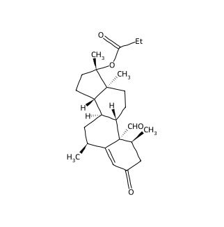 CCC(=O)O[C@@]1(C)CC[C@H]2[C@@H]3C[C@H](C)C4=CC(=O)C[C@H](C)[C@]4(C=O)[C@H]3CC[C@@]21C